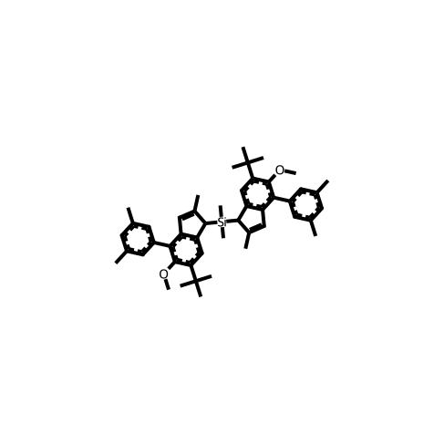 COc1c(C(C)(C)C)cc2c(c1-c1cc(C)cc(C)c1)C=C(C)C2[Si](C)(C)C1C(C)=Cc2c1cc(C(C)(C)C)c(OC)c2-c1cc(C)cc(C)c1